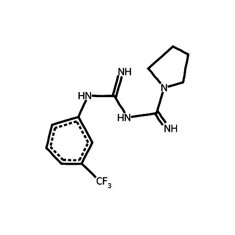 N=C(NC(=N)N1CCCC1)Nc1cccc(C(F)(F)F)c1